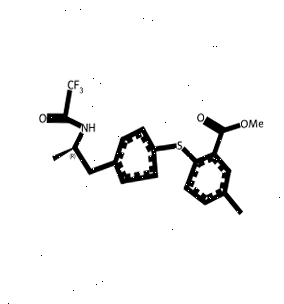 COC(=O)c1cc(C)ccc1Sc1ccc(C[C@@H](C)NC(=O)C(F)(F)F)cc1